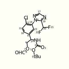 CC(C)(C)OC(=O)NC(COC=O)c1ccc(Cl)c(-n2ncnc2C(F)F)c1